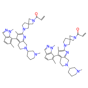 C=CC(=O)N1CC2(CCN(c3nc4c(c(-c5c(C)ccc6cnn(C)c56)c3C)CCN([C@@H]3CCCN(C)C3)C4)C2)C1.C=CC(=O)N1CC2(CCN(c3nc4c(c(-c5c(C)ccc6cnn(C)c56)c3C)CCN([C@H]3CCCN(C)C3)C4)C2)C1